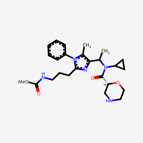 COC(=O)NCCCc1nc(C(C)N(C(=O)[C@H]2CNCCO2)C2CC2)c(C)n1-c1ccccc1